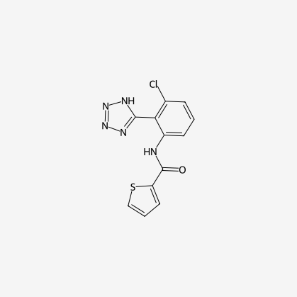 O=C(Nc1cccc(Cl)c1-c1nnn[nH]1)c1cccs1